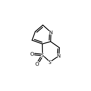 O=S1(=O)SN=Cc2ncccc21